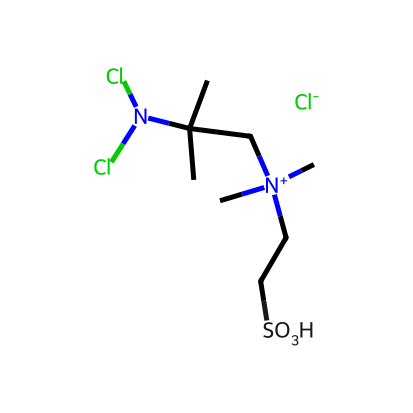 CC(C)(C[N+](C)(C)CCS(=O)(=O)O)N(Cl)Cl.[Cl-]